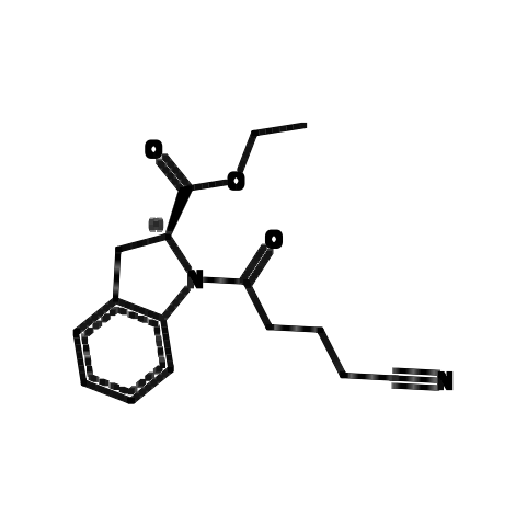 CCOC(=O)[C@@H]1Cc2ccccc2N1C(=O)CCCC#N